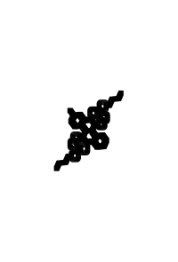 CCCCOC(=O)OC1=c2ccccc2=C2C(=O)C(OC(=O)OCCCC)=c3cc(C)ccc3=C2C1=O